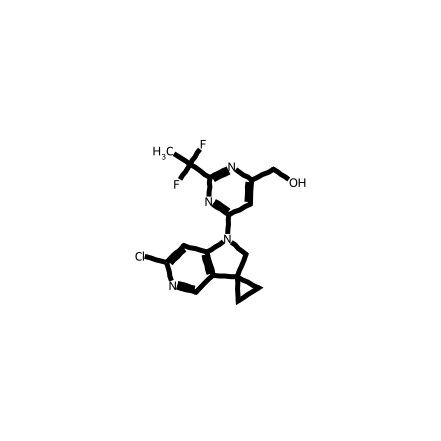 CC(F)(F)c1nc(CO)cc(N2CC3(CC3)c3cnc(Cl)cc32)n1